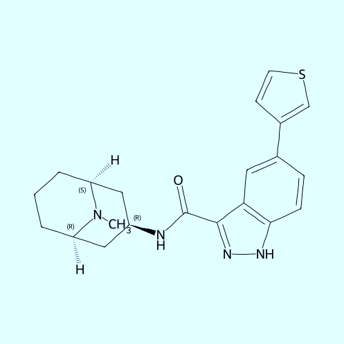 CN1[C@@H]2CCC[C@H]1C[C@@H](NC(=O)c1n[nH]c3ccc(-c4ccsc4)cc13)C2